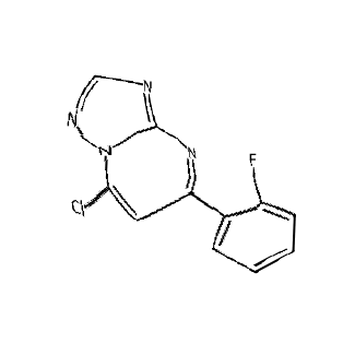 Fc1ccccc1-c1cc(Cl)n2ncnc2n1